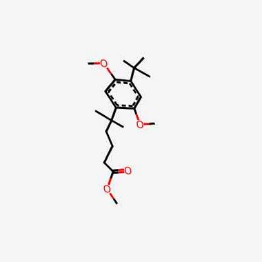 COC(=O)CCCC(C)(C)c1cc(OC)c(C(C)(C)C)cc1OC